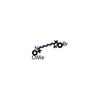 COc1ccc2c(c1)C(C)(C)\C(=C/C=C/C=C/C=C/C1=[N+](C)c3ccc(Br)cc3C1(C)C)N2C